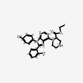 CCOC(=O)C1CNCCN1c1ncnc2c1nc(-c1ccccc1Cl)n2-c1ccc(Cl)cc1